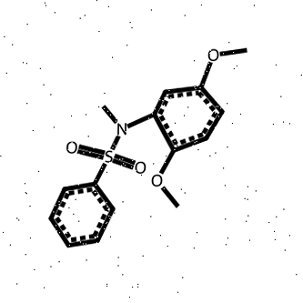 COc1ccc(OC)c(N(C)S(=O)(=O)c2ccccc2)c1